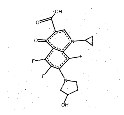 O=C(O)c1cn(C2CC2)c2c(F)c(N3CCC(O)C3)c(F)c(F)c2c1=O